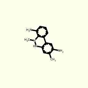 Cc1cc2c(cc1N)-c1cccc(N)c1N(C)N2